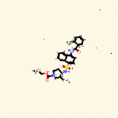 CCOC(=O)N1CC[C@H](NS(=O)(=O)c2ccc(NC(=O)c3ccccc3C)c3ccccc23)C(C)C1